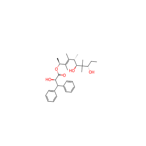 CC[C@H](O)C(C)(C)[C@@H](O)[C@@H](C)/C(C)=C(\C)[C@H](C)OC(=O)[C@H](O)C(c1ccccc1)c1ccccc1